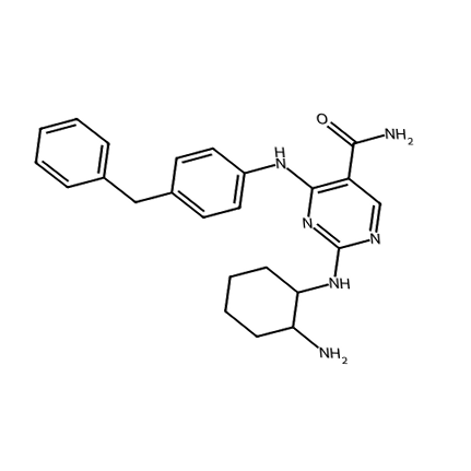 NC(=O)c1cnc(NC2CCCCC2N)nc1Nc1ccc(Cc2ccccc2)cc1